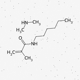 C=C(C)C(=O)NCCCCCC.CNC